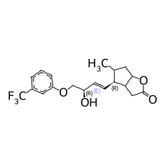 CC1CC2OC(=O)CC2[C@H]1/C=C/[C@@H](O)COc1cccc(C(F)(F)F)c1